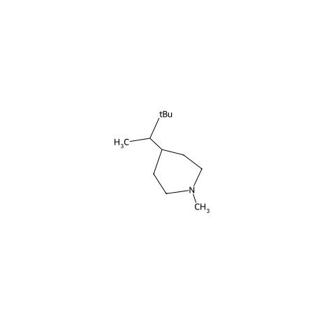 CC(C1CCN(C)CC1)C(C)(C)C